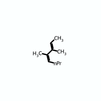 [CH2]CC/C=C(C)\C(C)=C\C